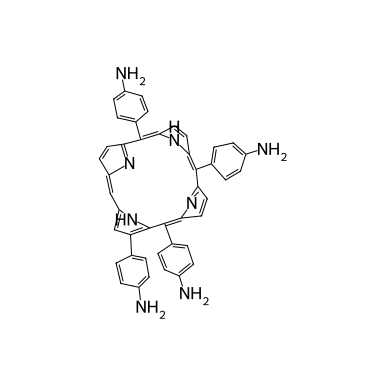 Nc1ccc(-c2c3nc(cc4cc(-c5ccc(N)cc5)c([nH]4)c(-c4ccc(N)cc4)c4nc(c(-c5ccc(N)cc5)c5ccc2[nH]5)C=C4)C=C3)cc1